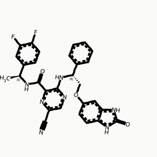 C[C@H](NC(=O)c1nc(C#N)cnc1N[C@@H](COc1ccc2[nH]c(=O)[nH]c2c1)c1ccccc1)c1ccc(F)c(F)c1